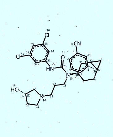 N#Cc1cccc([C@]23CC[C@@H](N(CCCN4CC[C@H](O)C4)C(=O)Nc4cc(Cl)cc(Cl)c4)CC2C3)c1